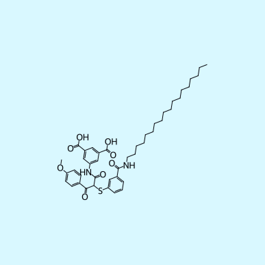 CCCCCCCCCCCCCCCCCCNC(=O)c1cccc(SC(C(=O)Nc2cc(C(=O)O)cc(C(=O)O)c2)C(=O)c2ccc(OC)cc2)c1